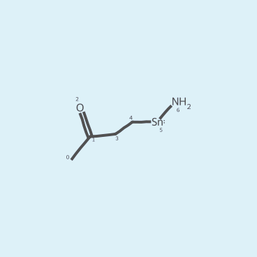 CC(=O)C[CH2][Sn][NH2]